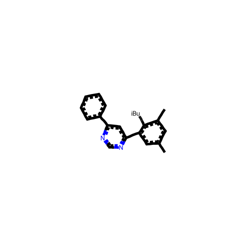 CCC(C)c1c(C)cc(C)cc1-c1cc(-c2ccccc2)ncn1